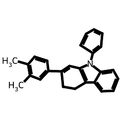 Cc1ccc(C2=Cc3c(c4ccccc4n3-c3ccccc3)CC2)cc1C